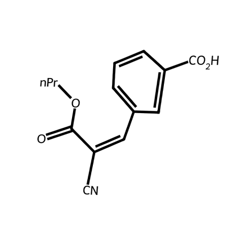 CCCOC(=O)C(C#N)=Cc1cccc(C(=O)O)c1